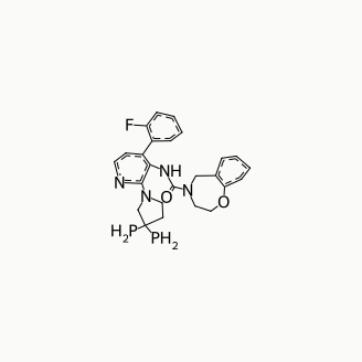 O=C(Nc1c(-c2ccccc2F)ccnc1N1CCC(P)(P)C1)N1CCOc2ccccc2C1